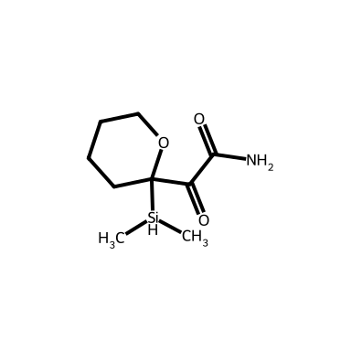 C[SiH](C)C1(C(=O)C(N)=O)CCCCO1